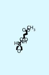 COC(=O)/C=C/C(=O)ONNN1CCOCC1